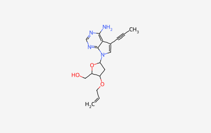 C=CCOC1CC(n2cc(C#CC)c3c(N)ncnc32)OC1CO